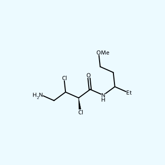 CCC(CCOC)NC(=O)[C@@H](Cl)C(Cl)CN